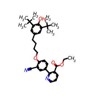 CCOC(=O)c1cccnc1-c1ccc(OCCCCc2cc(C(C)(C)C)c(O)c(C(C)(C)C)c2)c(C#N)c1